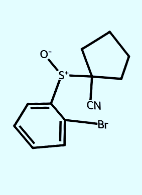 N#CC1([S+]([O-])c2ccccc2Br)CCCC1